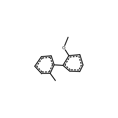 COc1ccccc1-c1ccc[c]c1C